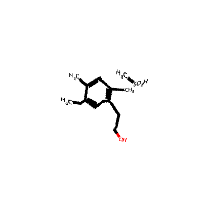 CS(=O)(=O)O.Cc1cc(C)c(CCO)cc1C